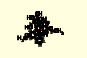 C#C[C@@]1(O)[C@H](O)[C@@H](CO)O[C@H]1n1cnc2c(OCC)nc(NC(c3ccccc3)(c3ccccc3)c3ccc(OC)cc3)nc21